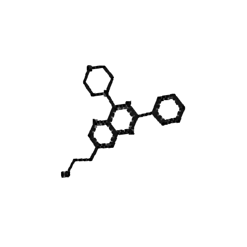 OCCc1cnc2c(N3CCOCC3)nc(-c3ccccc3)nc2c1